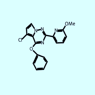 COc1cccc(-c2nc(Oc3ccccc3)c3c(Cl)ccn3n2)n1